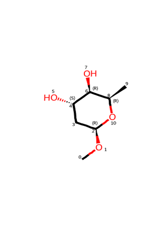 CO[C@H]1C[C@H](O)[C@@H](O)[C@@H](C)O1